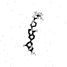 Cc1cn2cc(-c3ccc4c(=O)n(C5CCN(C(=O)OC(C)(C)C)CC5)ccc4c3)cc(F)c2n1